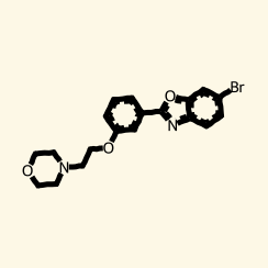 Brc1ccc2nc(-c3cccc(OCCN4CCOCC4)c3)oc2c1